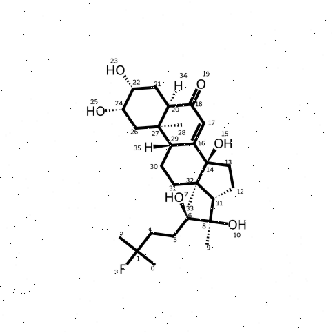 CC(C)(F)CC[C@@H](O)[C@](C)(O)[C@H]1CC[C@@]2(O)C3=CC(=O)[C@@H]4C[C@@H](O)[C@@H](O)C[C@]4(C)[C@H]3CC[C@]12C